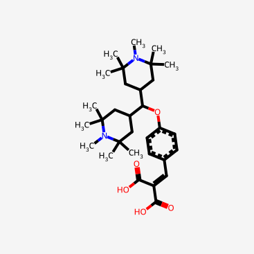 CN1C(C)(C)CC(C(Oc2ccc(C=C(C(=O)O)C(=O)O)cc2)C2CC(C)(C)N(C)C(C)(C)C2)CC1(C)C